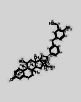 C[C@]12C=CC(=O)C=C1CC[C@@H]1[C@@H]2[C@@H](O)C[C@@]2(C)[C@H]1C[C@H]1O[C@@H](c3cccc(Cc4ccc(N)c(CO)c4)c3)O[C@]12C(=O)CO